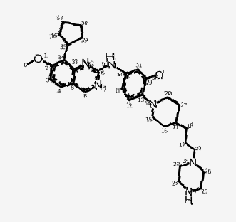 COc1ccc2cnc(Nc3ccc(N4CCC(CCCN5CCNCC5)CC4)c(Cl)c3)nc2c1C1CCCC1